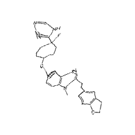 Cn1c(Cc2ccc3c(c2)CCO3)nc2cc(OC3CCC(F)(c4nnc[nH]4)CC3)ccc21